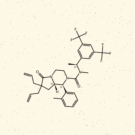 C=CCC1(CC=C)C[C@H]2[C@H](c3ccccc3C)N(C(=O)N(C)[C@@H](C)c3cc(C(F)(F)F)cc(C(F)(F)F)c3)CCN2C1=O